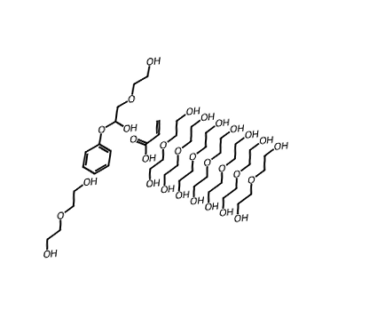 C=CC(=O)O.OCCOCC(O)Oc1ccccc1.OCCOCCO.OCCOCCO.OCCOCCO.OCCOCCO.OCCOCCO.OCCOCCO.OCCOCCO.OCCOCCO